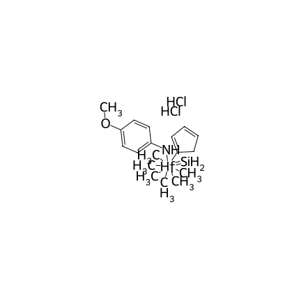 COc1ccc([NH][Hf]([CH3])([CH3])([CH3])([CH3])([CH3])([CH3])(=[SiH2])[C]2=CC=CC2)cc1.Cl.Cl